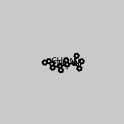 CC1(C)c2ccc3ccccc3c2-c2cccc(-c3ccc(-c4ccc(-c5cc(-c6ccccc6-c6ccccc6)nc(-c6ccccc6)n5)c5ccccc45)c4ccccc34)c21